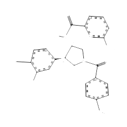 Cc1cccc(C(=O)N(C)[C@@H]2CN(C(=O)c3ccc(C#N)cc3)C[C@H]2c2ccc(Cl)c(Cl)c2)n1